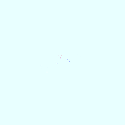 CC1(C)CN(CC(=O)N2CCC(F)(F)CC2)CCC2CC21